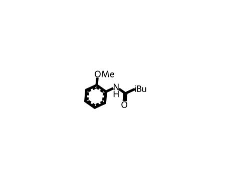 CCC(C)C(=O)Nc1ccccc1OC